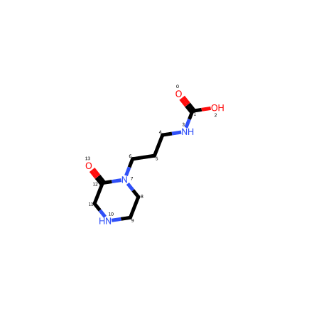 O=C(O)NCCCN1CCNCC1=O